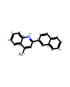 CC(=O)c1cc(-c2ccc3ccccc3c2)nc2ccccc12